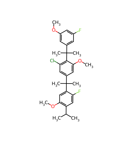 COc1cc(F)cc(C(C)(C)c2c(Cl)cc(C(C)(C)c3cc(OC)c(C(C)C)cc3F)cc2OC)c1